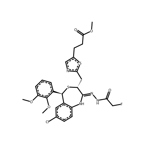 COC(=O)CCc1cnc(C[C@H]2S[C@H](c3cccc(OC)c3OC)c3cc(Cl)ccc3NC2=NNC(=O)CF)s1